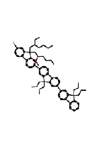 CCCCC(CC)CC1(CC(CC)CCCC)c2cc(I)ccc2-c2ccc(-c3ccc4c(c3)C(CCC)(CCC)c3cc(-c5ccc6c(c5)C(CCC)(CCC)c5ccccc5-6)ccc3-4)cc21